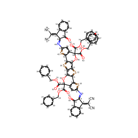 N#CC(C#N)=C1/C(=N/c2cc3c(s2)-c2sc4c5c(sc4c2OC3(C(=O)OCc2ccccc2)C(=O)OCc2ccccc2)-c2sc(/N=C3\C(=O)c4ccccc4C3=C(C#N)C#N)cc2C(C(=O)OCc2ccccc2)(C(=O)OCc2ccccc2)O5)C(=O)c2ccccc21